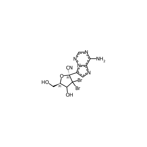 N#C[C@@]1(c2cnc3c(N)ncnn23)O[C@H](CO)C(O)C1(Br)Br